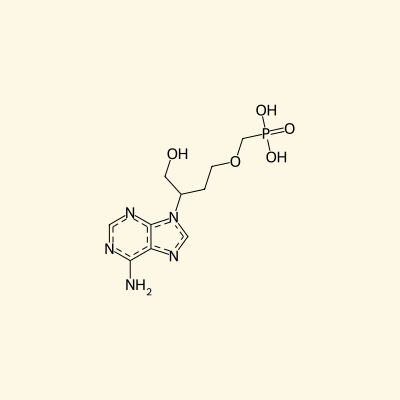 Nc1ncnc2c1ncn2C(CO)CCOCP(=O)(O)O